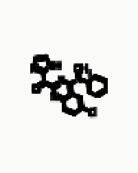 CN(c1ccccc1)c1nc(C(=O)c2ncc[nH]2)nc2ccc(Cl)cc12